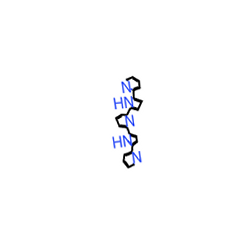 c1ccc(-c2ccc(-c3cccc(-c4ccc(-c5ccccn5)[nH]4)n3)[nH]2)nc1